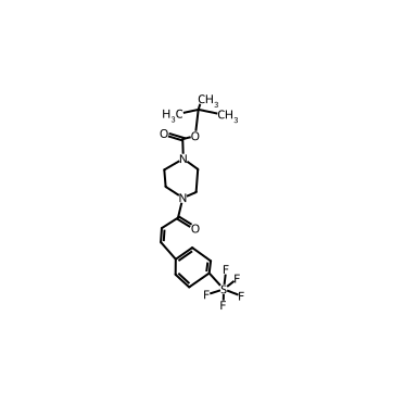 CC(C)(C)OC(=O)N1CCN(C(=O)/C=C\c2ccc(S(F)(F)(F)(F)F)cc2)CC1